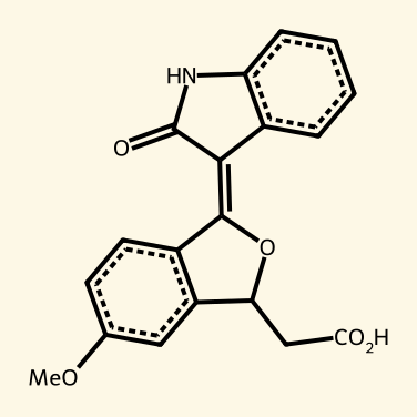 COc1ccc2c(c1)C(CC(=O)O)OC2=C1C(=O)Nc2ccccc21